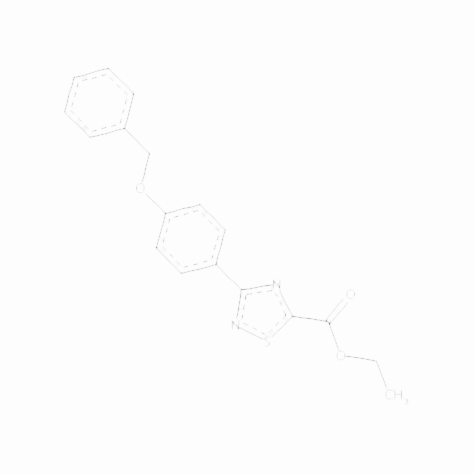 CCOC(=O)c1nc(-c2ccc(OCc3ccccc3)cc2)ns1